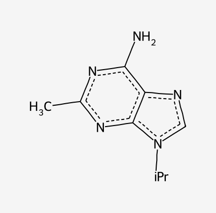 Cc1nc(N)c2ncn(C(C)C)c2n1